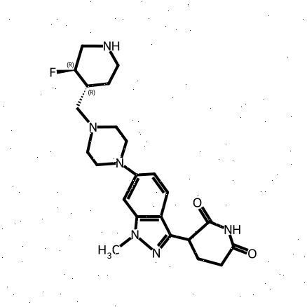 Cn1nc(C2CCC(=O)NC2=O)c2ccc(N3CCN(C[C@H]4CCNC[C@@H]4F)CC3)cc21